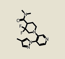 Cc1cnn(-c2ccncc2N2CCC(C(=O)N(C)C)C(F)(F)C2)c1